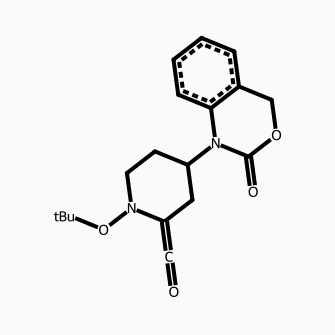 CC(C)(C)ON1CCC(N2C(=O)OCc3ccccc32)CC1=C=O